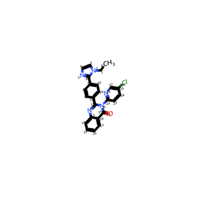 CCn1ccnc1-c1ccc(-c2nc3ccccc3c(=O)n2-c2ccc(Cl)cn2)cc1